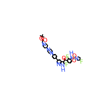 CC(C)(C)OC(=O)CN1CCC(N2CCN(c3ccc(-c4cnc5[nH]cc(C(=O)c6c(F)ccc(NS(=O)(=O)N7CC[C@@H](F)C7)c6F)c5c4)cc3)CC2)CC1